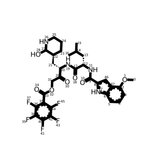 COc1cccc2[nH]c(C(=O)N[C@@H](CC(C)C)C(=O)N[C@@H](C[C@@H]3CCCNC3O)C(=O)COC(=O)c3c(F)c(F)c(F)c(F)c3F)cc12